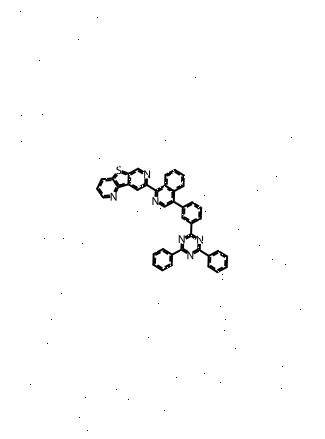 c1ccc(-c2nc(-c3ccccc3)nc(-c3cccc(-c4cnc(-c5cc6c(cn5)sc5cccnc56)c5ccccc45)c3)n2)cc1